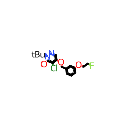 CC(C)(C)n1ncc(OCc2cccc(OCCF)c2)c(Cl)c1=O